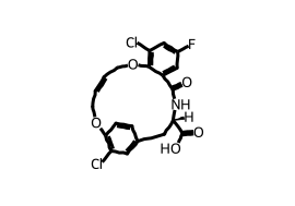 O=C1N[C@H](C(=O)O)Cc2ccc(c(Cl)c2)OCC=CCOc2c(Cl)cc(F)cc21